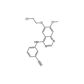 C#Cc1cccc(Nc2ncnc3cc(OC)c(OCCCl)cc23)c1